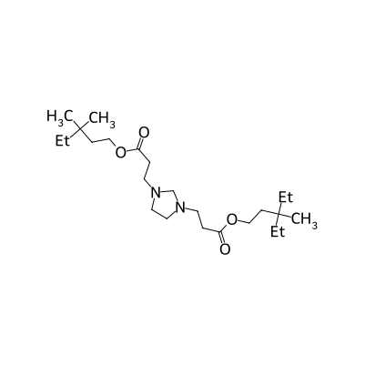 CCC(C)(C)CCOC(=O)CCN1CCN(CCC(=O)OCCC(C)(CC)CC)C1